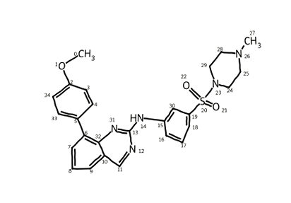 COc1ccc(-c2cccc3cnc(Nc4cccc(S(=O)(=O)N5CCN(C)CC5)c4)nc23)cc1